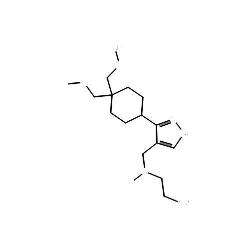 CCCOCC1(COCCC)CCC(c2n[nH]cc2CN(C)CCNC)CC1